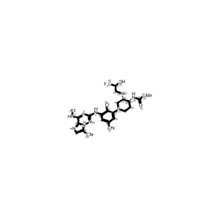 CCNc1nc(Nc2cc(C#N)cc(N3CC[C@@H](NC(=O)OC)[C@@H](NCC(O)C(F)(F)F)C3)c2Cl)nn2c(C#N)cnc12